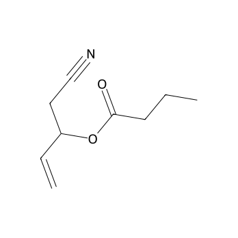 C=CC(CC#N)OC(=O)CCC